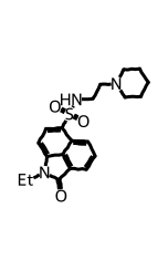 CCN1C(=O)c2cccc3c(S(=O)(=O)NCCN4CCCCC4)ccc1c23